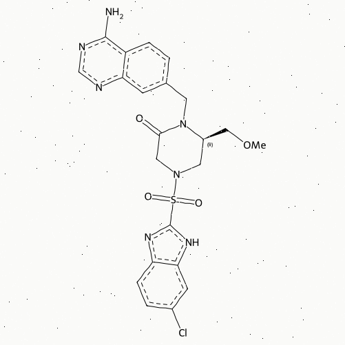 COC[C@H]1CN(S(=O)(=O)c2nc3ccc(Cl)cc3[nH]2)CC(=O)N1Cc1ccc2c(N)ncnc2c1